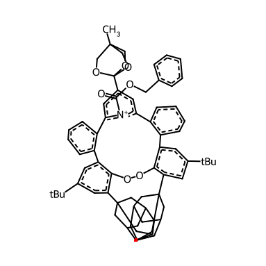 CC12COC(c3cc4[n+](C(=O)OCc5ccccc5)c(c3)-c3ccccc3-c3cc(C(C)(C)C)cc(C56CC7CC(CC(C7)C5)C6)c3OOc3c(cc(C(C)(C)C)cc3C35CC6CC(CC(C6)C3)C5)-c3ccccc3-4)(OC1)OC2